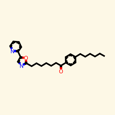 CCCCCCc1ccc(C(=O)CCCCCCc2ncc(-c3ccccn3)o2)cc1